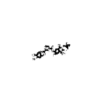 CC(C)n1c(=O)n(CC2CC2(F)F)c(=O)c2cc(NC(=O)N3CCOC(C(=O)Nc4cc(Cl)c(C#N)cc4F)C3)c(F)cc21